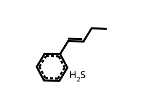 CCC=Cc1ccccc1.S